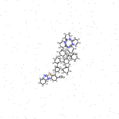 CC(C)(C)c1ccc2c(sc3nc4ccccc4n32)c1-c1ccc2c(c1)-c1ccccc1-c1ccc([Si](C3=CN4B5C=CC=CN5B5C=CC=CN5B5C=CC=CN5B4C=C3)(c3ccccc3)c3ccccc3)cc1-c1ccccc1-2